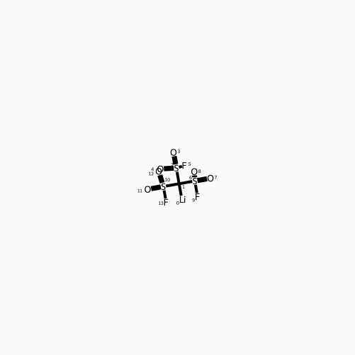 [Li][C](S(=O)(=O)F)(S(=O)(=O)F)S(=O)(=O)F